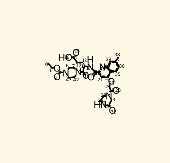 CCOC(=O)N1CCN(C(=O)[C@H](CCC(=O)O)NC(=O)c2cc(OCC(=O)N3CCNC(=O)C3)c3ccc(C)cc3n2)CC1